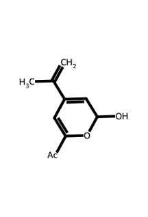 C=C(C)C1=CC(O)OC(C(C)=O)=C1